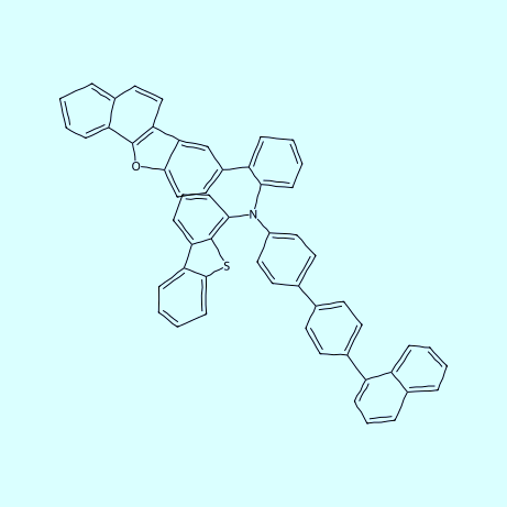 c1ccc(N(c2ccc(-c3ccc(-c4cccc5ccccc45)cc3)cc2)c2cccc3c2sc2ccccc23)c(-c2ccc3oc4c5ccccc5ccc4c3c2)c1